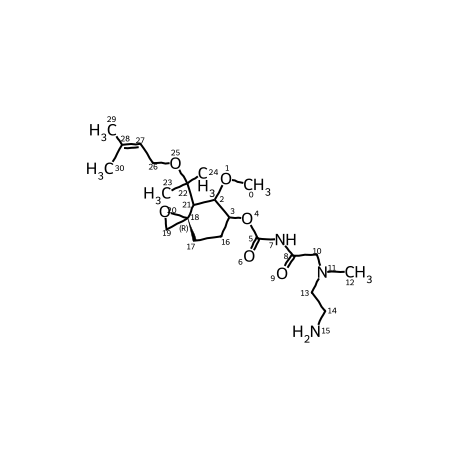 COC1C(OC(=O)NC(=O)CN(C)CCN)CC[C@]2(CO2)C1C(C)(C)OCC=C(C)C